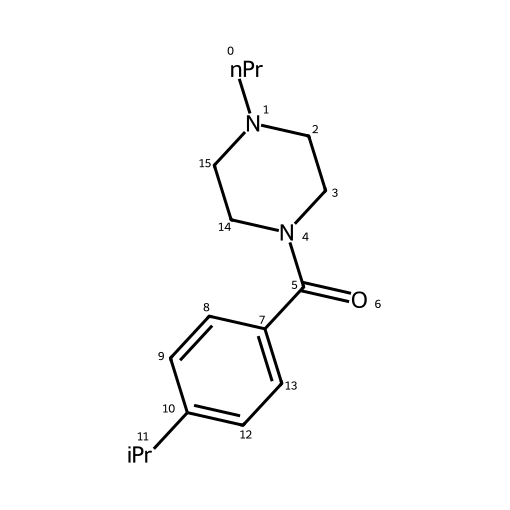 CCCN1CCN(C(=O)c2ccc(C(C)C)cc2)CC1